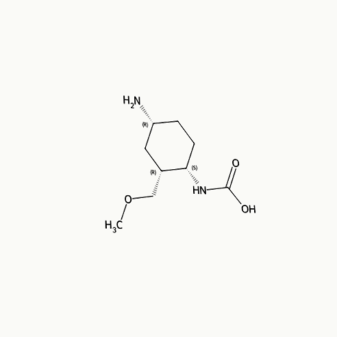 COC[C@@H]1C[C@H](N)CC[C@@H]1NC(=O)O